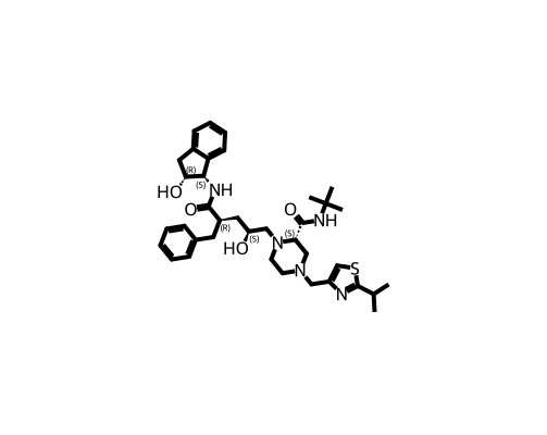 CC(C)c1nc(CN2CCN(C[C@@H](O)C[C@@H](Cc3ccccc3)C(=O)N[C@H]3c4ccccc4C[C@H]3O)[C@H](C(=O)NC(C)(C)C)C2)cs1